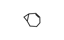 C1=CC2CC2CCC1